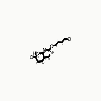 O=CCCCOc1ncc2ccc(=O)[nH]c2n1